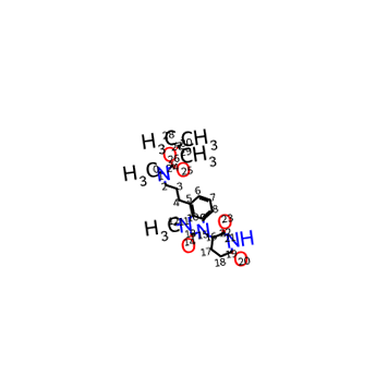 CN(CCCc1cccc2c1n(C)c(=O)n2C1CCC(=O)NC1=O)C(=O)OC(C)(C)C